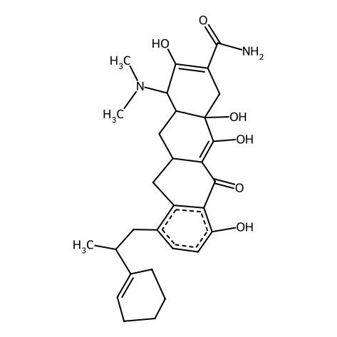 CC(Cc1ccc(O)c2c1CC1CC3C(N(C)C)C(O)=C(C(N)=O)CC3(O)C(O)=C1C2=O)C1=CCCCC1